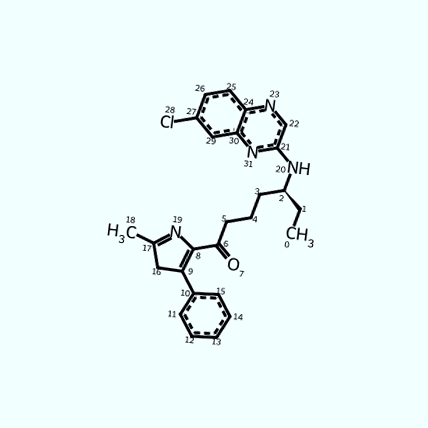 CC[C@@H](CCCC(=O)C1=C(c2ccccc2)CC(C)=N1)Nc1cnc2ccc(Cl)cc2n1